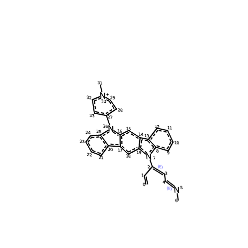 C=C/C(=C\C=N\C)n1c2ccccc2c2cc3c(cc21)c1ccccc1n3-c1cc[n+](C)cc1